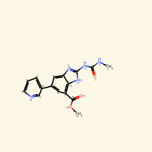 CNC(=O)Nc1nc2cc(-c3cccnc3)cc(C(=O)OC)c2[nH]1